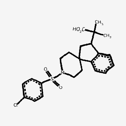 CC(C)(C(=O)O)C1CC2(CCN(S(=O)(=O)c3ccc(Cl)cc3)CC2)c2ccccc21